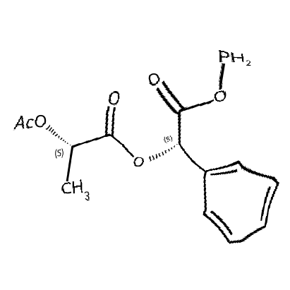 CC(=O)O[C@@H](C)C(=O)O[C@H](C(=O)OP)c1ccccc1